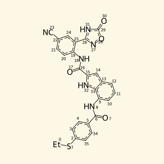 CCSc1ccc(C(=O)Nc2cccc3cc(C(=O)Nc4ccc(C#N)cc4-c4noc(=O)[nH]4)[nH]c23)cc1